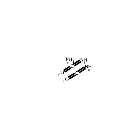 N=C=O.N=C=O.P